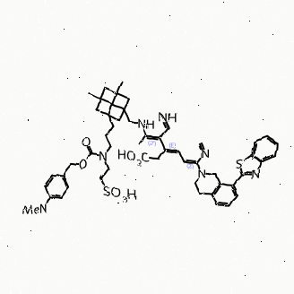 C=N\C(=C/C=C(CC(=O)O)/C(C=N)=C(\C)NCC12CC3(C)CC4(C)CC(CCCN(CCS(=O)(=O)O)C(=O)OCc5ccc(NC)cc5)(C1)C432)N1CCc2cccc(-c3nc4ccccc4s3)c2C1